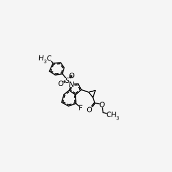 CCOC(=O)C1CC1c1cn(S(=O)(=O)c2ccc(C)cc2)c2cccc(F)c12